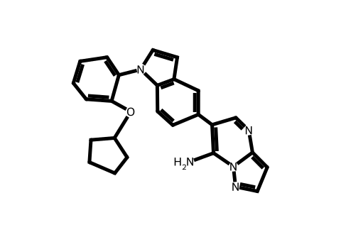 Nc1c(-c2ccc3c(ccn3-c3ccccc3OC3CCCC3)c2)cnc2ccnn12